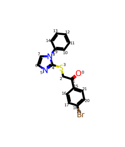 O=C(CSc1nccn1-c1ccccc1)c1ccc(Br)cc1